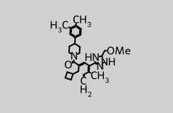 C=C/C(C)=C(\C=C(/CC1CCC1)C(=O)N1CCC(c2ccc(C)c(C)c2)CC1)C1=NNC(COC)N1